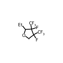 [CH2]CC1O[CH]C(F)(C(F)(F)F)C1(F)C(F)(F)F